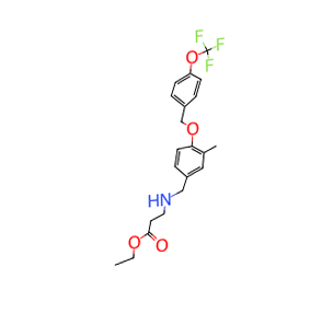 CCOC(=O)CCNCc1ccc(OCc2ccc(OC(F)(F)F)cc2)c(C)c1